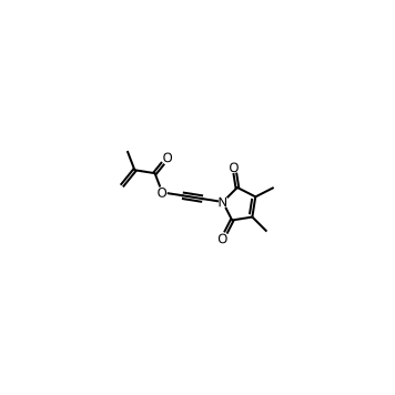 C=C(C)C(=O)OC#CN1C(=O)C(C)=C(C)C1=O